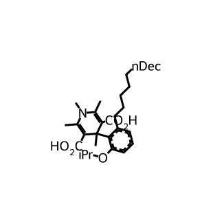 CCCCCCCCCCCCCCCc1cccc(OC(C)C)c1C1(C)C(C(=O)O)=C(C)N(C)C(C)=C1C(=O)O